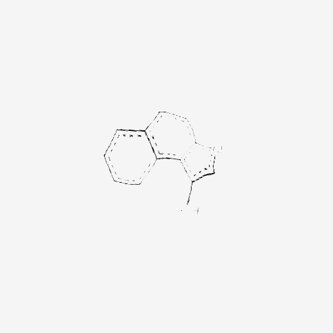 Cc1c[nH]c2ccc3ccccc3c12